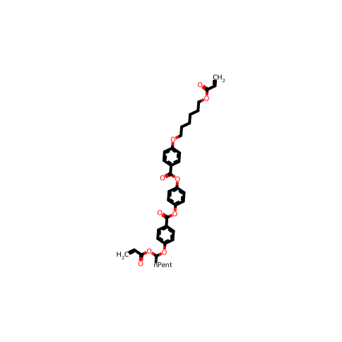 C=CC(=O)OCCCCCCOc1ccc(C(=O)Oc2ccc(OC(=O)c3ccc(OC(CCCCC)OC(=O)C=C)cc3)cc2)cc1